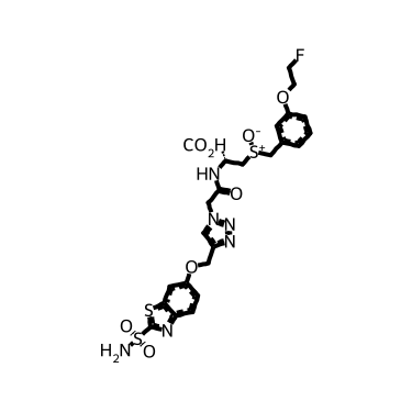 NS(=O)(=O)c1nc2ccc(OCc3cn(CC(=O)N[C@@H](C[S+]([O-])Cc4cccc(OCCF)c4)C(=O)O)nn3)cc2s1